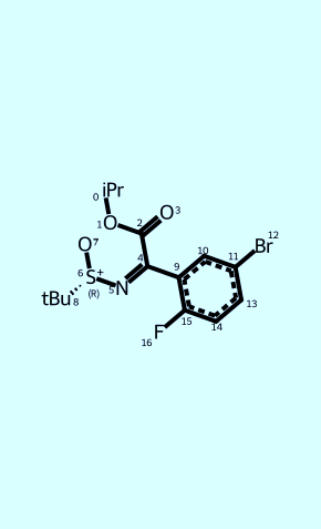 CC(C)OC(=O)C(=N[S@@+]([O-])C(C)(C)C)c1cc(Br)ccc1F